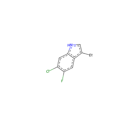 CCc1c[nH]c2cc(Cl)c(F)cc12